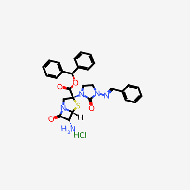 Cl.N[C@@H]1C(=O)N2C[C@@](C(=O)OC(c3ccccc3)c3ccccc3)(N3CCN(/N=C/c4ccccc4)C3=O)S[C@H]12